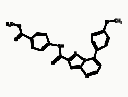 COC(=O)c1ccc(NC(=O)c2cc3nccc(-c4ccc(OC)cc4)n3n2)cc1